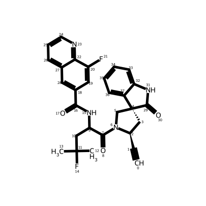 C#C[C@@H]1C[C@@]2(CN1C(=O)C(CC(C)(C)F)NC(=O)c1cc(F)c3ncccc3c1)C(=O)Nc1ccccc12